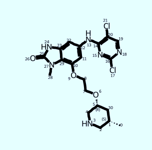 C[C@@H]1CNC[C@H](OCCOc2cc(Nc3nc(Cl)ncc3Cl)cc3[nH]c(=O)n(C)c23)C1